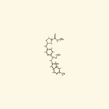 CC(C)(C)OC(=O)N1CC[C@H](Oc2ccc(C(CO)Cc3cc4ccc(C#N)cc4[nH]3)cc2)C1